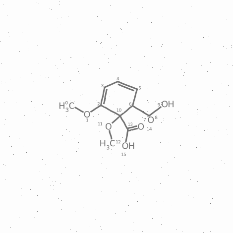 COC1=CC=CC(C(=O)O)C1(OC)C(=O)O